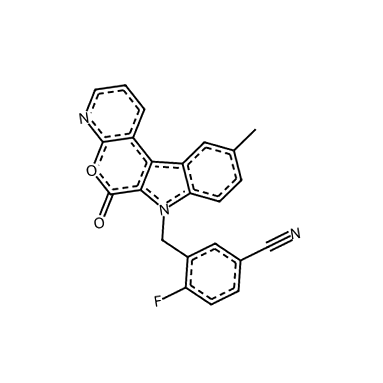 Cc1ccc2c(c1)c1c3cccnc3oc(=O)c1n2Cc1cc(C#N)ccc1F